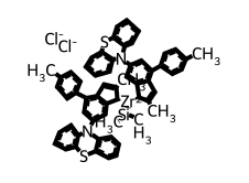 CC1=Cc2c(-c3ccc(C)cc3)cc(N3c4ccccc4Sc4ccccc43)cc2[C@@H]1[Zr+2]([C@H]1C(C)=Cc2c(-c3ccc(C)cc3)cc(N3c4ccccc4Sc4ccccc43)cc21)=[Si](C)C.[Cl-].[Cl-]